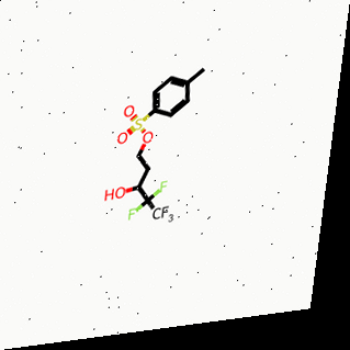 Cc1ccc(S(=O)(=O)OCCC(O)C(F)(F)C(F)(F)F)cc1